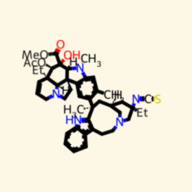 CCC1(N=C=S)C[C@H]2CN(CCc3c([nH]c4ccccc34)[C@@](C)(c3cc4c(cc3C)N(C)[C@H]3C(O)(C(=O)OC)[C@H](OC(C)=O)[C@]5(CC)C=CCN6CC[C@]43[C@@H]65)C2)C1